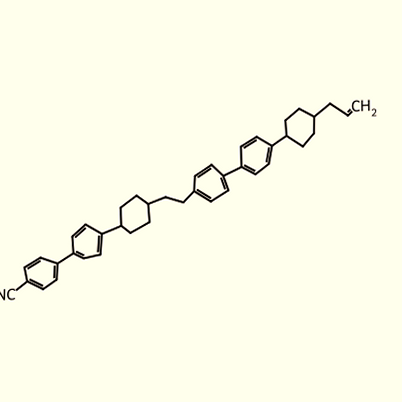 C=CCC1CCC(c2ccc(-c3ccc(CCC4CCC(c5ccc(-c6ccc(C#N)cc6)cc5)CC4)cc3)cc2)CC1